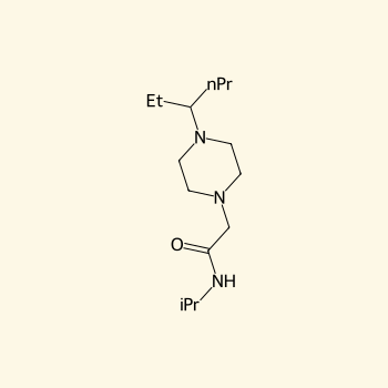 CCCC(CC)N1CCN(CC(=O)NC(C)C)CC1